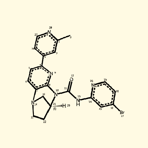 Cc1cc(-c2ccc3c(n2)N(C(=O)Nc2cc(Br)ccn2)[C@H]2CCN3C2)ccn1